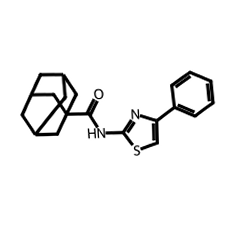 O=C(Nc1nc(-c2ccccc2)cs1)C12CC3CC(CC(C3)C1)C2